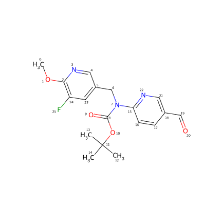 COc1ncc(CN(C(=O)OC(C)(C)C)c2ccc(C=O)cn2)cc1F